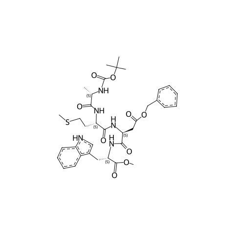 COC(=O)[C@H](Cc1c[nH]c2ccccc12)NC(=O)[C@H](CC(=O)OCc1ccccc1)NC(=O)[C@H](CCSC)NC(=O)[C@H](C)NC(=O)OC(C)(C)C